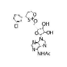 CC(=O)Nc1ncnc2c1ncn2[C@@H]1O[C@H](COP2OCCC(c3cccc(Cl)c3)S2)[C@@H](O)[C@H]1O